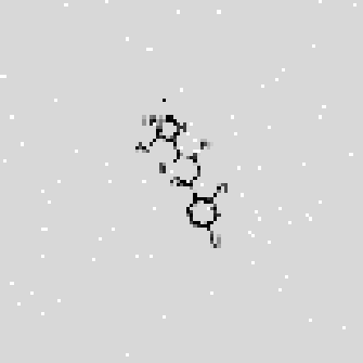 CCC(CC(=O)c1ccc(Cl)cc1Cl)C(CC)c1nc[nH]c1C(C)=O